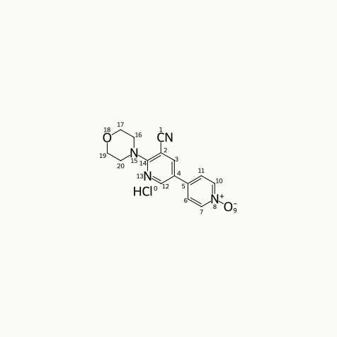 Cl.N#Cc1cc(-c2cc[n+]([O-])cc2)cnc1N1CCOCC1